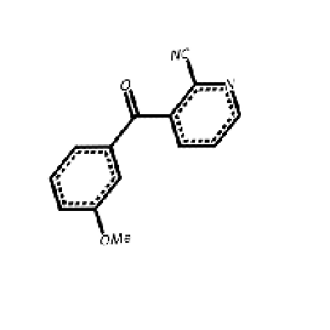 COc1cccc(C(=O)c2cccnc2C#N)c1